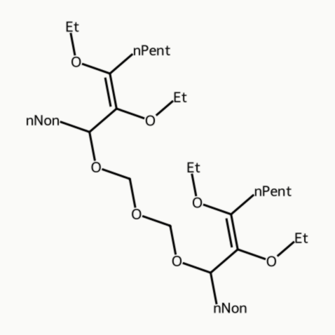 CCCCCCCCCC(OCOCOC(CCCCCCCCC)C(OCC)=C(CCCCC)OCC)C(OCC)=C(CCCCC)OCC